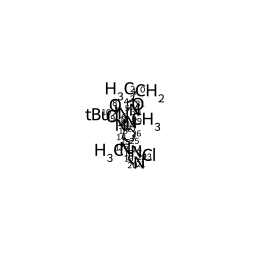 C=C(C)c1cc(N(C(=O)OC(C)(C)C)c2nc3cc(N(C)c4ccnc(Cl)n4)ccc3n2C)no1